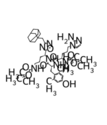 Cc1cc(O)cc(C)c1C[C@H](NC(=O)[C@@H](CCCn1ccnc1N)NC(=O)OC(C)(C)C)C(=O)N[C@@H](CCCNC(=O)OC(C)(C)C)c1nc(CC23CC4CC(CC(C4)C2)C3)no1